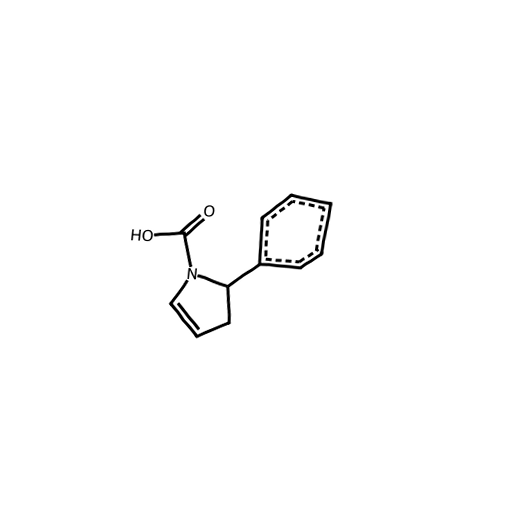 O=C(O)N1C=CCC1c1ccccc1